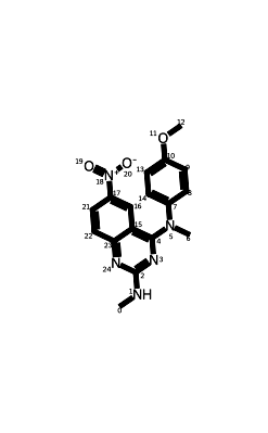 CNc1nc(N(C)c2ccc(OC)cc2)c2cc([N+](=O)[O-])ccc2n1